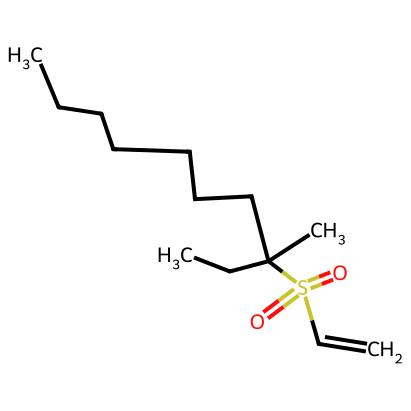 C=CS(=O)(=O)C(C)(CC)CCCCCCC